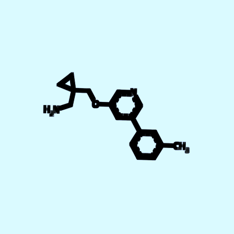 Cc1cccc(-c2cncc(OCC3(CN)CC3)c2)c1